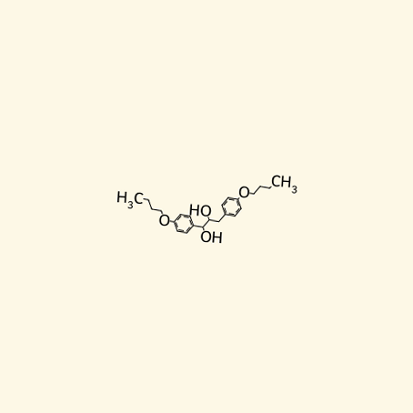 CCCCOc1ccc(CC(O)C(O)c2ccc(OCCCC)cc2)cc1